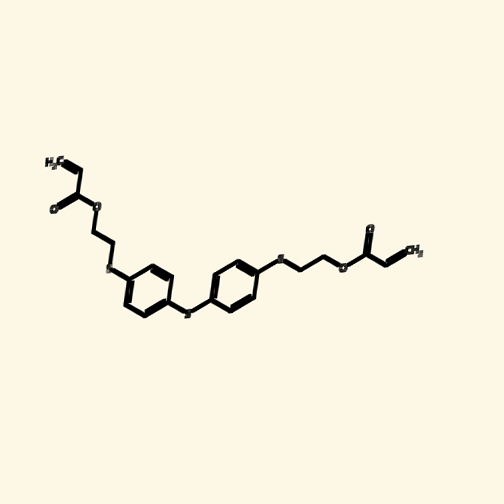 C=CC(=O)OCCSc1ccc(Sc2ccc(SCCOC(=O)C=C)cc2)cc1